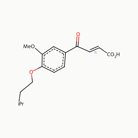 COc1cc(C(=O)/C=C/C(=O)O)ccc1OCCC(C)C